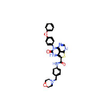 O=C(Nc1ccc(CN2CCOCC2)cc1)c1sc2ncnc3c2c1NC(=O)N3c1ccc(Oc2ccccc2)cc1